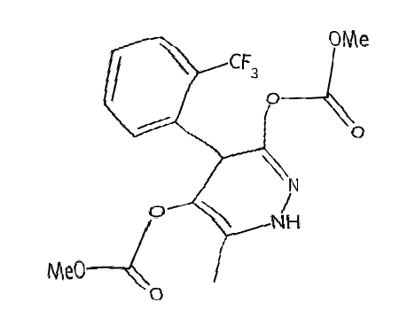 COC(=O)OC1=NNC(C)=C(OC(=O)OC)C1c1ccccc1C(F)(F)F